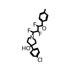 Cc1ccc(C(=O)C(F)C(F)C(F)N2CCC(O)(c3ccc(Cl)cc3)CC2)cc1